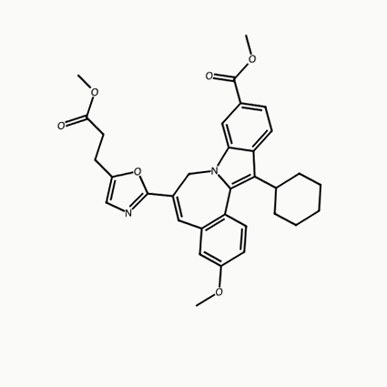 COC(=O)CCc1cnc(C2=Cc3cc(OC)ccc3-c3c(C4CCCCC4)c4ccc(C(=O)OC)cc4n3C2)o1